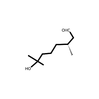 C[C@@H](CC=O)CCCC(C)(C)O